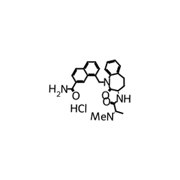 CN[C@@H](C)C(=O)N[C@H]1CCc2ccccc2N(Cc2cccc3ccc(C(N)=O)cc23)C1=O.Cl